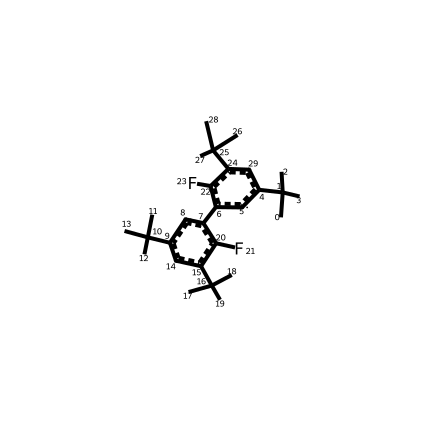 CC(C)(C)c1[c]c(-c2[c]c(C(C)(C)C)cc(C(C)(C)C)c2F)c(F)c(C(C)(C)C)c1